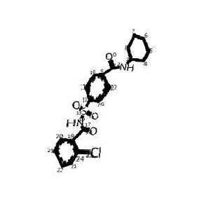 O=C(NC1CCCCC1)c1ccc(S(=O)(=O)NC(=O)c2ccccc2Cl)cc1